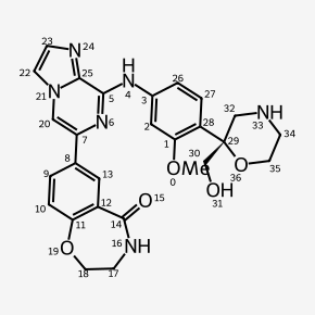 COc1cc(Nc2nc(-c3ccc4c(c3)C(=O)NCCO4)cn3ccnc23)ccc1[C@]1(CO)CNCCO1